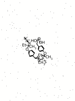 CCC(C)(Oc1ccc(CP(=O)(O)O)cc1)[PH](=S)N(C)/N=C/c1ccc(O[C@](C)(CC)N=[N+]=[N-])cc1